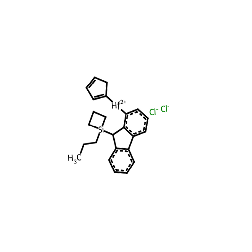 CCC[Si]1(C2c3ccccc3-c3ccc[c]([Hf+2][C]4=CC=CC4)c32)CCC1.[Cl-].[Cl-]